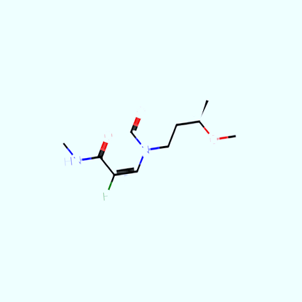 CNC(=O)/C(F)=C\N(C=O)CC[C@@H](C)OC